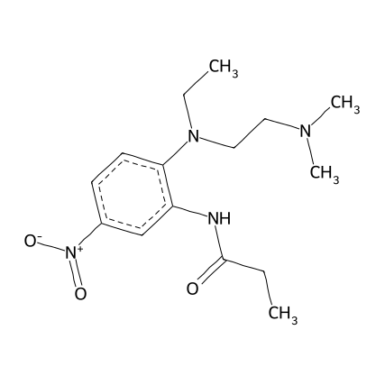 CCC(=O)Nc1cc([N+](=O)[O-])ccc1N(CC)CCN(C)C